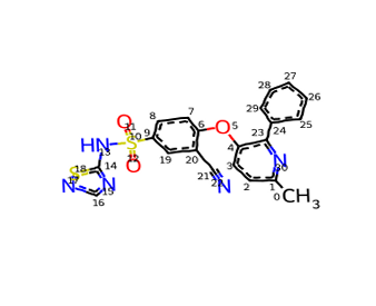 Cc1ccc(Oc2ccc(S(=O)(=O)Nc3ncns3)cc2C#N)c(-c2ccccc2)n1